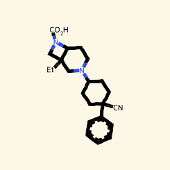 CCC12CN(C3CCC(C#N)(c4ccccc4)CC3)CCC1N(C(=O)O)C2